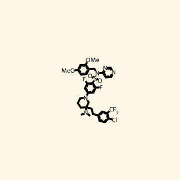 COc1ccc(CN(c2ccncn2)S(=O)(=O)c2c(F)cc(N3CCCC(CCc4ccc(Cl)c(C(F)(F)F)c4)(N(C)C)C3)cc2F)c(OC)c1